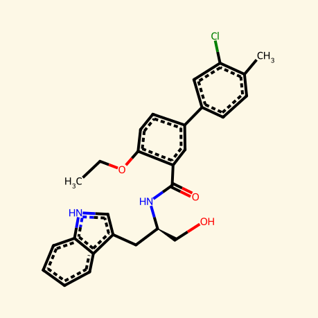 CCOc1ccc(-c2ccc(C)c(Cl)c2)cc1C(=O)N[C@@H](CO)Cc1c[nH]c2ccccc12